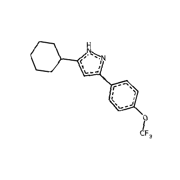 FC(F)(F)Oc1ccc(-c2cc(C3CCCCC3)[nH]n2)cc1